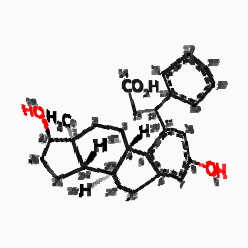 C[C@]12CC[C@@H]3c4c(cc(O)cc4C(CC(=O)O)c4ccccc4)CC[C@H]3[C@@H]1CC[C@H]2O